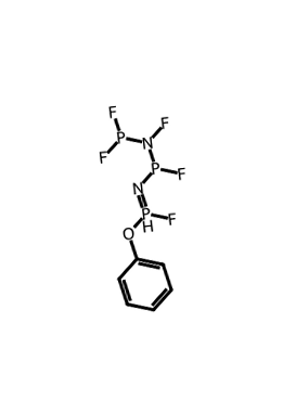 FN(P(F)F)P(F)/N=[PH](\F)Oc1ccccc1